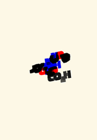 Cc1ccc(Cn2c(=O)n(C[C@H](C)C(=O)O)c(=O)[nH]/c2=N\c2ccc(Oc3ccccc3)nc2)cc1